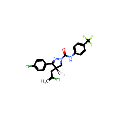 C=C(Cl)CC1(C)CN(C(=O)Nc2ccc(C(F)(F)F)cc2)N=C1c1ccc(Cl)cc1